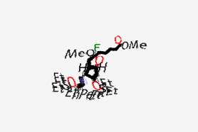 CCCCC[C@@H](/C=C/[C@@H]1[C@H]2C[C@@](OC)([C@@H](F)CCCC(=O)OC)O[C@H]2C[C@H]1O[Si](CC)(CC)CC)O[Si](CC)(CC)CC